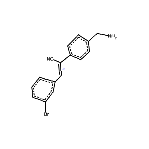 N#C/C(=C\c1cccc(Br)c1)c1ccc(CN)cc1